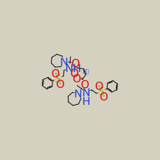 CC(NCCS(=O)(=O)c1ccccc1)(OC(=O)/C=C\C(=O)OC(C)(NCCS(=O)(=O)c1ccccc1)N1CCCCCC1)N1CCCCCC1